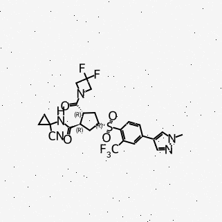 Cn1cc(-c2ccc(S(=O)(=O)[C@@H]3C[C@@H](C(=O)NC4(C#N)CC4)[C@H](C(=O)N4CC(F)(F)C4)C3)c(C(F)(F)F)c2)cn1